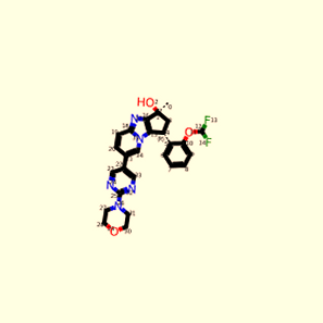 C[C@]1(O)C[C@H](c2ccccc2OC(F)F)c2c1nc1ccc(-c3cnc(N4CCOCC4)nc3)cn21